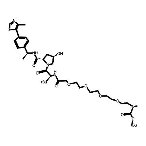 Cc1ncsc1-c1ccc([C@H](C)NC(=O)[C@@H]2C[C@@H](O)CN2C(=O)[C@@H](NC(=O)COCCOCCOCCOCCN(C)C(=O)OC(C)(C)C)C(C)(C)C)cc1